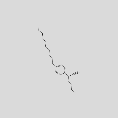 [C]#CC(CCCC)c1ccc(CCCCCCCCCC)cc1